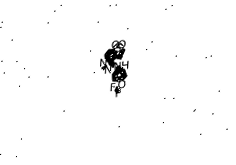 O=S1(=O)CCc2c1ccc1ncnc(Nc3ccc(OC(F)F)cc3)c21